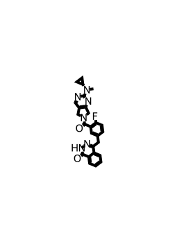 CN(c1ncc2c(n1)CN(C(=O)c1cc(Cc3n[nH]c(=O)c4ccccc34)ccc1F)C2)C1CC1